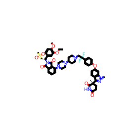 CCOc1cc([C@@H](CS(C)(=O)=O)N2C(=O)c3cccc(N4CCN(C5CCN(CC(F)(F)c6ccc(Oc7ccc8c([C@@]9(C)CCC(=O)NC9=O)nn(C)c8c7)cc6)CC5)CC4)c3C2=O)ccc1OC